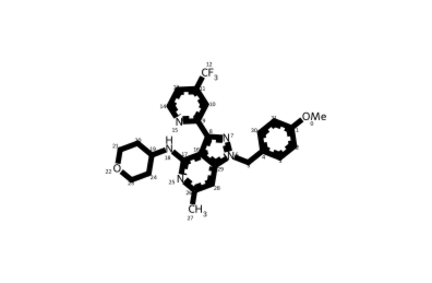 COc1ccc(Cn2nc(-c3cc(C(F)(F)F)ccn3)c3c(NC4CCOCC4)nc(C)cc32)cc1